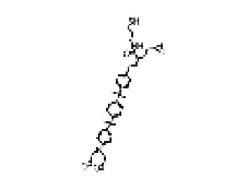 CC(C)(c1ccc(CCC(CCC2CO2)C(=O)NCCCS)cc1)c1ccc(C(C)(C)c2ccc(N(CC3CO3)CC3CO3)cc2)cc1